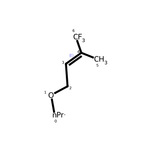 CC[CH]OC/C=C(\C)C(F)(F)F